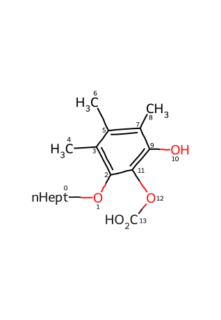 CCCCCCCOc1c(C)c(C)c(C)c(O)c1OC(=O)O